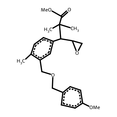 COC(=O)C(C)(C)C(c1ccc(C)c(COCc2ccc(OC)cc2)c1)C1CO1